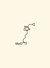 COC(=O)CCCCc1nc(CC2CC2)no1